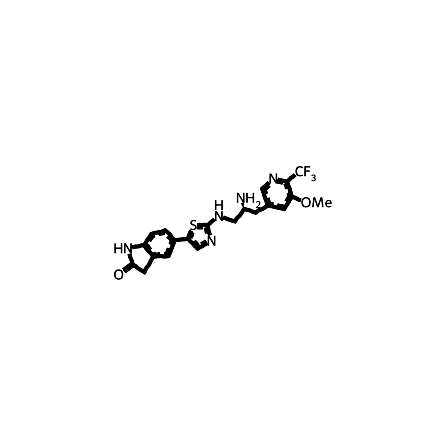 COc1cc(C[C@@H](N)CNc2ncc(-c3ccc4c(c3)CC(=O)N4)s2)cnc1C(F)(F)F